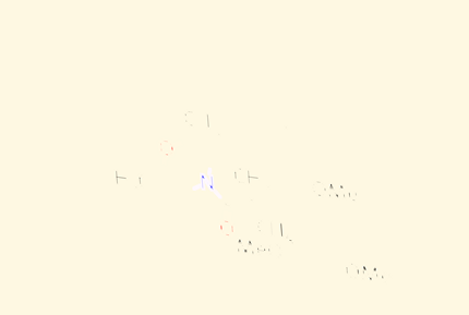 COc1cc(OC)c(C(c2ccccc2)C(C)(C)C(=O)N2CC(C)OC(C)C2)c(OC)c1